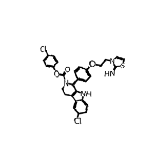 N=c1sccn1CCOc1ccc(C2c3[nH]c4c(c3CCN2C(=O)Oc2ccc(Cl)cc2)=CC(Cl)CC=4)cc1